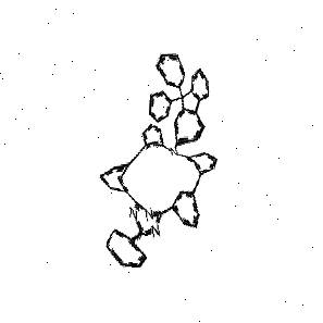 c1ccc(-c2nc3nc(n2)-c2cccc(c2)-c2cccc(c2)N(c2ccc4c(c2)C(c2ccccc2)(c2ccccc2)c2ccccc2-4)c2cccc(c2)-c2cccc-3c2)cc1